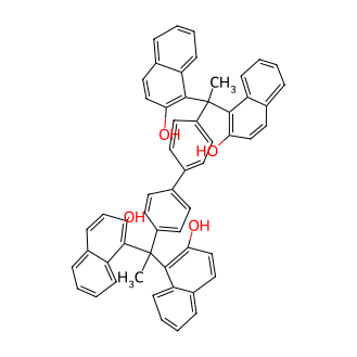 CC(c1ccc(-c2ccc(C(C)(c3c(O)ccc4ccccc34)c3c(O)ccc4ccccc34)cc2)cc1)(c1c(O)ccc2ccccc12)c1c(O)ccc2ccccc12